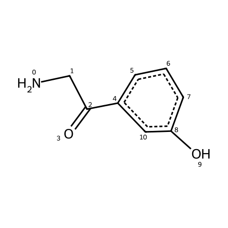 NCC(=O)c1cccc(O)c1